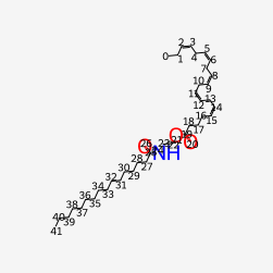 CC/C=C\C/C=C\C/C=C\C/C=C\C/C=C\CCCC(=O)OCCNC(=O)CCCCCCCCCCCCCCC